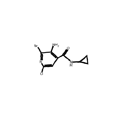 Nc1c(C(=O)NC2CC2)cc(Cl)nc1Br